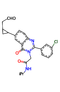 CC(C)NC(=O)Cn1c(-c2cccc(Cl)c2)nc2ccc(C3CC3CC=O)cc2c1=O